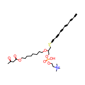 C#CC#CC#CC#CC#CC#CSCC(COP(=O)(O)OCC[N+](C)(C)C)OCCCCCCCCOC(=O)CC(C)=O